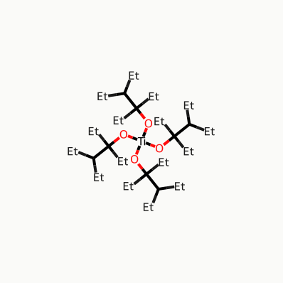 CCC(CC)C(CC)(CC)[O][Ti]([O]C(CC)(CC)C(CC)CC)([O]C(CC)(CC)C(CC)CC)[O]C(CC)(CC)C(CC)CC